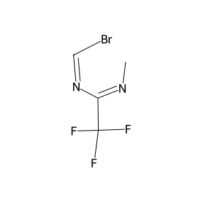 C/N=C(\N=C/Br)C(F)(F)F